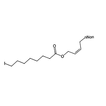 CCCCCCCCCC/C=C\COC(=O)CCCCCCCI